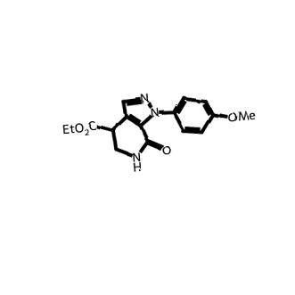 CCOC(=O)C1CNC(=O)c2c1cnn2-c1ccc(OC)cc1